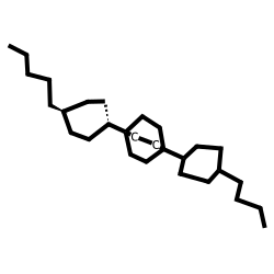 CCCCC[C@H]1CC[C@H](C23CCC(C4CCC(CCCC)CC4)(CC2)CC3)CC1